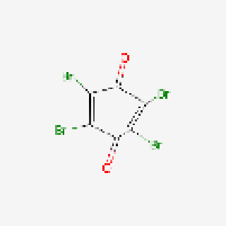 O=C1C(Br)=C(Br)C(=O)C(Br)=C1Br